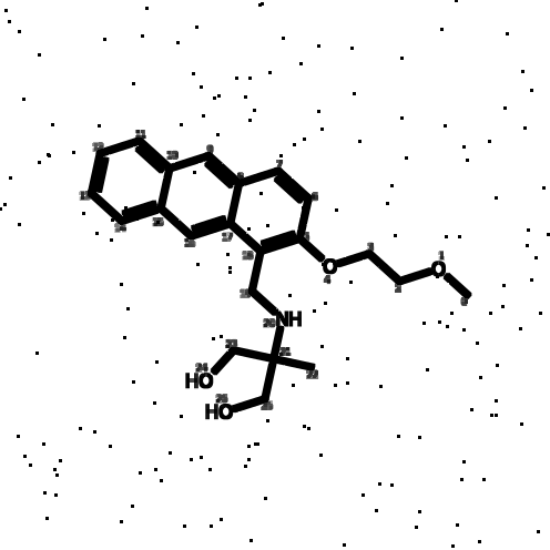 COCCOc1ccc2cc3ccccc3cc2c1CNC(C)(CO)CO